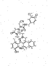 N#CCN(C(=O)NCc1ccc(Cl)c(Cl)c1)N1CC(=O)N2[C@@H](Cc3ccc(O)c(N)c3)C(=O)N(Cc3cccc4ccccc34)C[C@@H]21